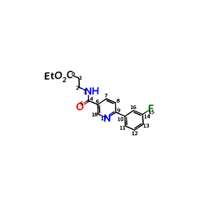 CCOC(=O)CCNC(=O)c1ccc(-c2cccc(F)c2)nc1